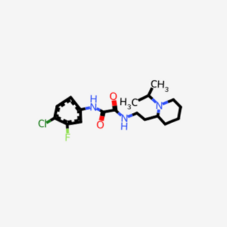 CC(C)N1CCCCC1CCNC(=O)C(=O)Nc1ccc(Cl)c(F)c1